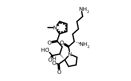 Cn1cccc1C(=O)CC(C(=O)O)[C@@]1(C(=O)O)CCCN1C(=O)[C@@H](N)CCCCN